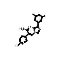 Cc1cc(C)cc(-c2ncn(C=C(C(N)=O)c3ccc(Cl)nc3)n2)c1